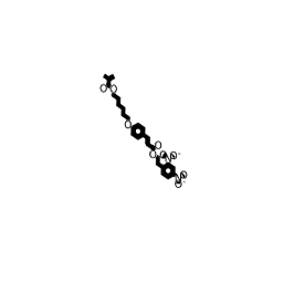 C=C(C)C(=O)OCCCCCCOc1ccc(/C=C/C(=O)OCCc2ccc([N+](=O)[O-])cc2[N+](=O)[O-])cc1